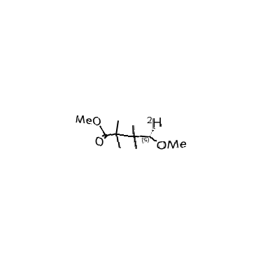 [2H][C@H](OC)C(C)(C)C(C)(C)C(=O)OC